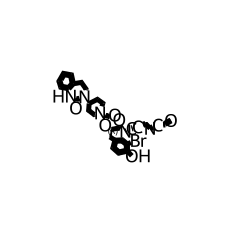 O=C=C=NC=C=C=NC(=O)[C@@H](Cc1ccc(O)c(Br)c1)OC(=O)N1CCC(N2CCc3ccccc3NC2=O)CC1